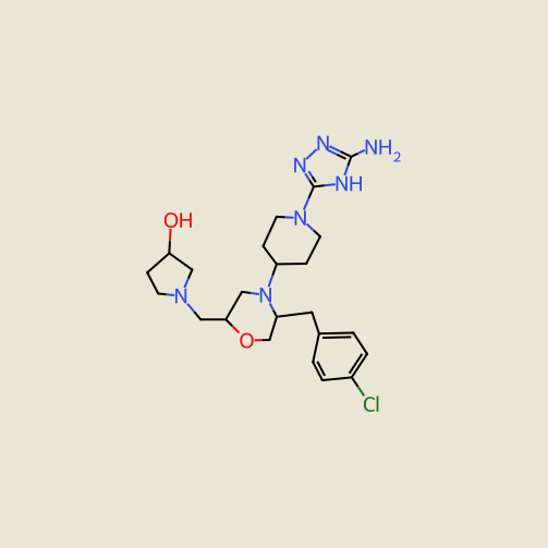 Nc1nnc(N2CCC(N3CC(CN4CCC(O)C4)OCC3Cc3ccc(Cl)cc3)CC2)[nH]1